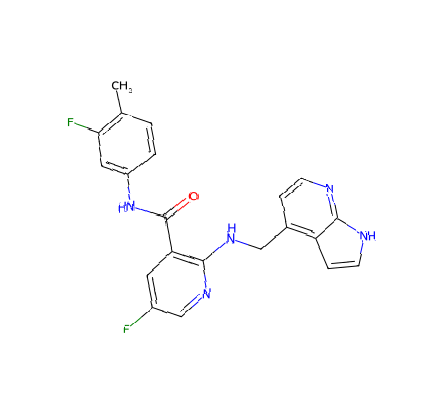 Cc1ccc(NC(=O)c2cc(F)cnc2NCc2ccnc3[nH]ccc23)cc1F